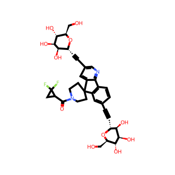 O=C(C1CC1(F)F)N1CCC2(CC1)c1cc(C#C[C@H]3O[C@H](CO)[C@@H](O)[C@H](O)[C@@H]3O)ccc1-c1ncc(C#C[C@H]3O[C@H](CO)[C@@H](O)[C@H](O)[C@@H]3O)cc12